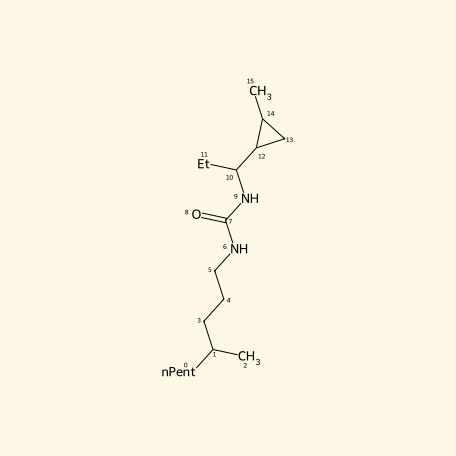 CCCCCC(C)CCCNC(=O)NC(CC)C1CC1C